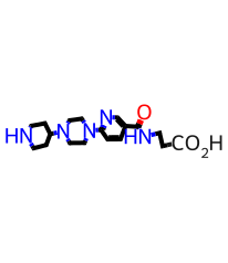 O=C(O)CCNC(=O)c1ccc(N2CCN(C3CCNCC3)CC2)nc1